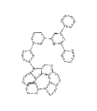 c1ccc(-c2cc(-c3cccc(-c4cccc(-n5c6ccccc6c6c7c(ccc8ccn(-c9ccccc9)c87)ccc65)c4)c3)nc(-c3ccccc3)n2)cc1